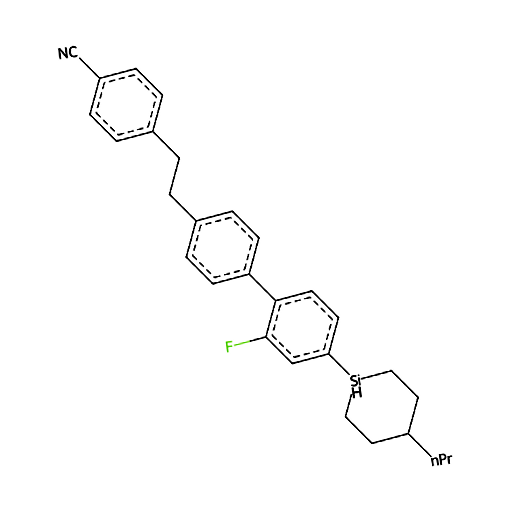 CCCC1CC[SiH](c2ccc(-c3ccc(CCc4ccc(C#N)cc4)cc3)c(F)c2)CC1